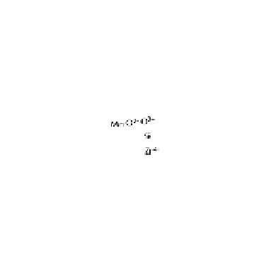 [Mn].[O-2].[O-2].[Si].[Zr+4]